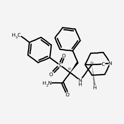 Cc1ccc(S(=O)(=O)[C@](Cc2ccccc2)(N[C@@H]2CN3CCC2CC3)C(N)=O)cc1